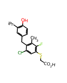 Cc1c(F)c(SCC(=O)O)cc(Cl)c1Cc1ccc(O)c(C(C)C)c1